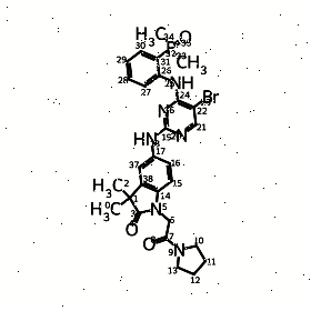 CC1(C)C(=O)N(CC(=O)N2CCCC2)c2ccc(Nc3ncc(Br)c(Nc4ccccc4P(C)(C)=O)n3)cc21